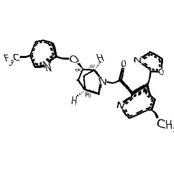 Cc1cnc(C(=O)N2C[C@H]3C[C@@H](Oc4ccc(C(F)(F)F)cn4)[C@@H]2C3)c(-c2ncco2)c1